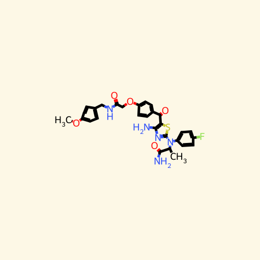 COc1ccc(CNC(=O)COc2ccc(C(=O)c3sc(N(c4ccc(F)cc4)C(C)C(N)=O)nc3N)cc2)cc1